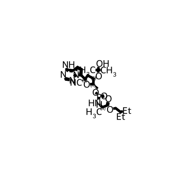 CCC(CC)COC(=O)[C@H](C)N[PH](=O)OC[C@H]1O[C@@](C#N)(c2ccc3c(N)ncnn23)C[C@@H]1OC(C)(C)O